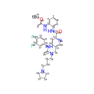 C=C(Nc1ccccc1NC(=O)c1ccc(CN(CCCCN2CCCC2)C(=C)Nc2ccc(F)c(F)c2)cn1)OC(C)(C)C